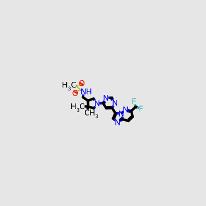 CC1(C)CN(c2cc(-c3cnc4ccc(C(F)F)nn34)ncn2)CC1CNS(C)(=O)=O